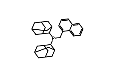 c1ccc2c(CP(C3C4CC5CC(C4)CC3C5)C3C4CC5CC(C4)CC3C5)cccc2c1